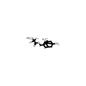 CC12CC3CC(C)(C1)CC(COC(=O)C(F)(F)S(=O)(=O)O)(C3)C2